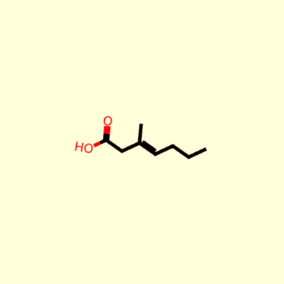 CCC/C=C(\C)CC(=O)O